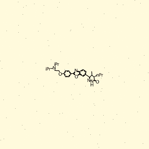 CCCC1C(=O)NN=C(c2ccc3nc(-c4ccc(OCCN(C(C)C)C(C)C)cc4)oc3c2)C1C